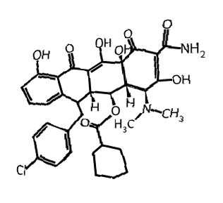 CN(C)[C@@H]1C(O)=C(C(N)=O)C(=O)[C@@]2(O)C(O)=C3C(=O)c4c(O)cccc4C(Cc4ccc(Cl)cc4)[C@H]3[C@H](OC(=O)C3CCCCC3)[C@@H]12